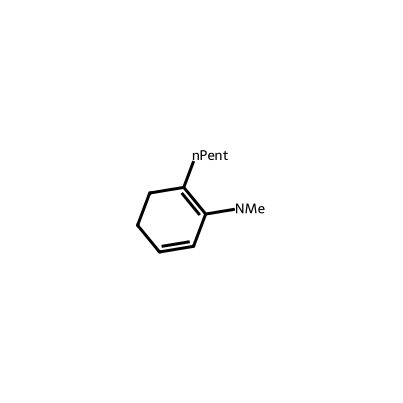 CCCCCC1=C(NC)C=CCC1